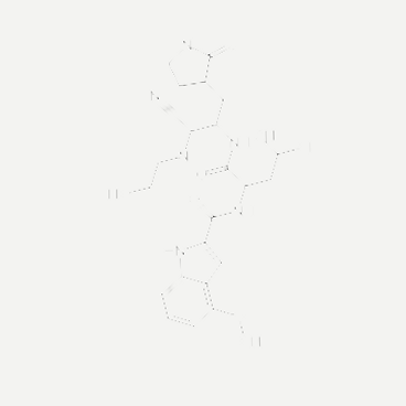 COc1cccc2[nH]c(C(=O)NC(CC(C)C)C(=O)NC(CC3CCNC3=O)C(C#N)NCCO)cc12